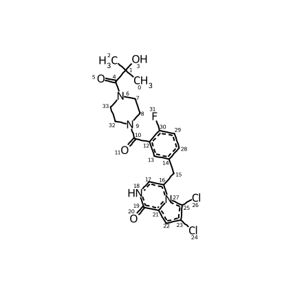 CC(C)(O)C(=O)N1CCN(C(=O)c2cc(Cc3c[nH]c(=O)c4cc(Cl)c(Cl)n34)ccc2F)CC1